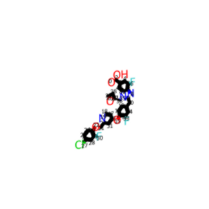 O=C(O)c1cc(F)c2nc(Cc3ccc(Oc4ccnc(COc5ccc(Cl)cc5F)c4)c(F)c3)n(C[C@@H]3CCO3)c2c1